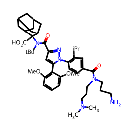 COc1cccc(OC)c1-c1cc(C(=O)N(C(C)(C)C)C2(C(=O)O)C3CC4CC(C3)CC2C4)nn1-c1ccc(C(=O)N(CCCN)CCCN(C)C)cc1C(C)C